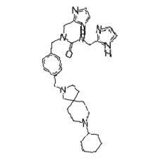 O=C(NCc1ncc[nH]1)N(Cc1ccc(CN2CCC3(CCN(C4CCCCC4)CC3)C2)cc1)Cc1ncc[nH]1